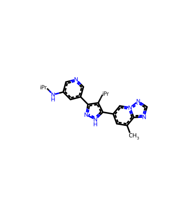 Cc1cc(-c2[nH]nc(-c3cncc(NC(C)C)c3)c2C(C)C)cn2ncnc12